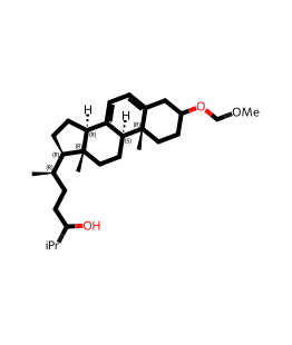 COCOC1CC[C@@]2(C)C(=CC=C3[C@@H]4CC[C@H]([C@H](C)CCC(O)C(C)C)[C@@]4(C)CC[C@@H]32)C1